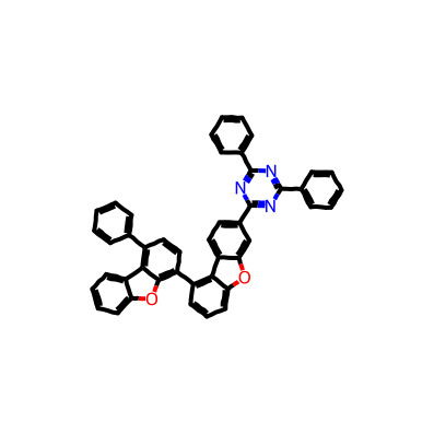 c1ccc(-c2nc(-c3ccccc3)nc(-c3ccc4c(c3)oc3cccc(-c5ccc(-c6ccccc6)c6c5oc5ccccc56)c34)n2)cc1